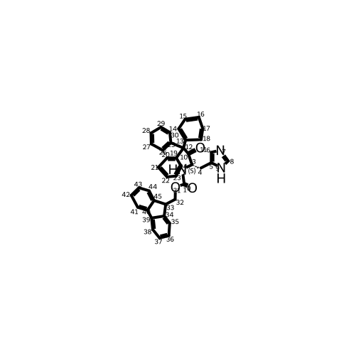 O=C(N[C@@H](Cc1cnc[nH]1)C(=O)C(c1ccccc1)(c1ccccc1)c1ccccc1)OCC1c2ccccc2-c2ccccc21